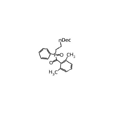 CCCCCCCCCCCCP(=O)(C(=O)c1c(C)cccc1C)c1ccccc1